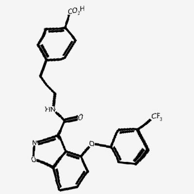 O=C(O)c1ccc(CCNC(=O)c2noc3cccc(Oc4cccc(C(F)(F)F)c4)c23)cc1